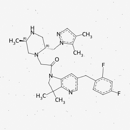 Cc1cnn(C[C@H]2CN[C@H](C)CN2CC(=O)N2CC(C)(C)c3ncc(Cc4ccc(F)cc4F)cc32)c1C